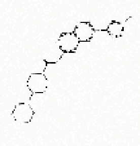 Cn1cc(-c2cnc3cnc(NC(=O)C4CCC(N5CCOCC5)CC4)cc3c2)nn1